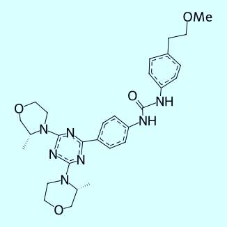 COCCc1ccc(NC(=O)Nc2ccc(-c3nc(N4CCOC[C@H]4C)nc(N4CCOC[C@H]4C)n3)cc2)cc1